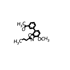 CCCc1nc2c(OC)ccc(-c3cccc(C(C)=O)c3)c2o1